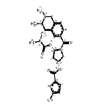 C[C@@H]1Cc2cc(C(=O)N3C[C@H](NC(=O)c4ccc(Cl)s4)C[C@@H]3OC(=O)N(C)C)ccc2CN1C